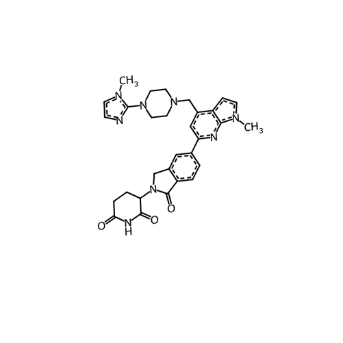 Cn1ccnc1N1CCN(Cc2cc(-c3ccc4c(c3)CN(C3CCC(=O)NC3=O)C4=O)nc3c2ccn3C)CC1